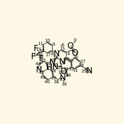 COC(=O)C1=C(C)N(c2cccc(C(F)(F)F)c2)c2n[nH]c(=O)n2[C@@H]1c1ccc(C#N)cc1CC[N+](C)(C)Cc1ccc2ncccc2c1